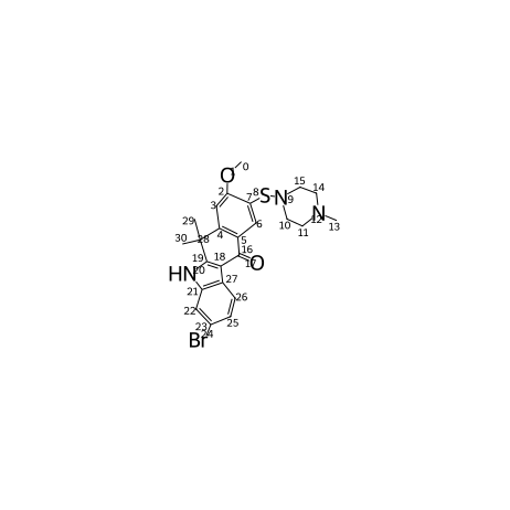 COc1cc2c(cc1SN1CCN(C)CC1)C(=O)c1c([nH]c3cc(Br)ccc13)C2(C)C